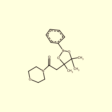 CC1(C)OB(c2ccccc2)OC1(C)CC(=O)N1CCOCC1